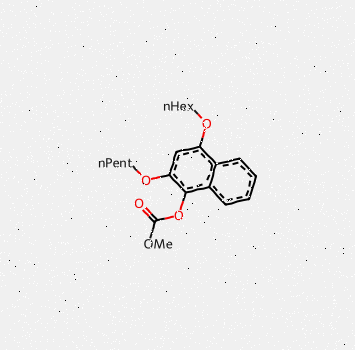 CCCCCCOc1cc(OCCCCC)c(OC(=O)OC)c2ccccc12